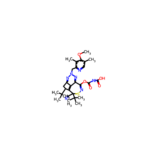 COc1c(C)cnc(CN2N=C3CC(C(C)(C)C)C4=C3C(=N2)C(OC(=O)NC(=O)O)=NSC4(C#N)C(C)(C)C)c1C